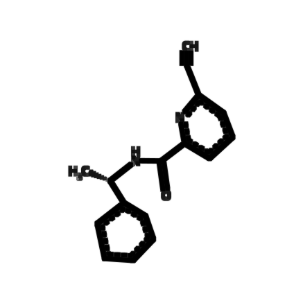 C#Cc1cccc(C(=O)N[C@@H](C)c2ccccc2)n1